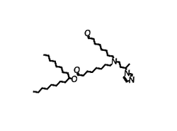 CCCCCCCCC(CCCCCCCC)OC(=O)CCCCCCCN(CCCCCCCC=O)CCC(C)n1ccnc1